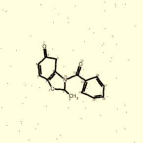 CC1OC2=C(CC(=O)C=C2)N1C(=O)c1ccccc1